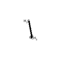 CCCCCCCCC=CCCCCCCCOC(C)=O